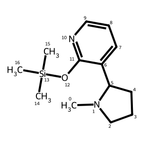 CN1CCCC1c1cccnc1O[Si](C)(C)C